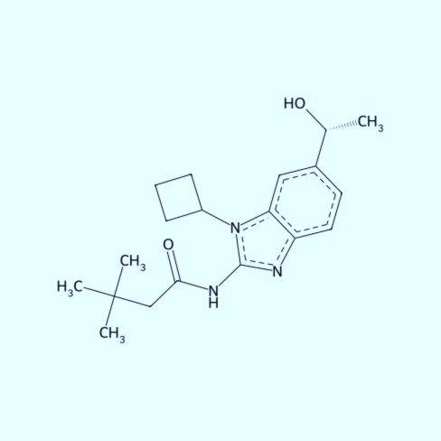 C[C@@H](O)c1ccc2nc(NC(=O)CC(C)(C)C)n(C3CCC3)c2c1